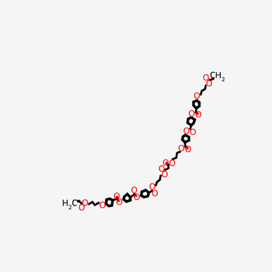 C=CC(=O)OCCCCOc1ccc(C(=O)Oc2ccc(C(=O)Oc3ccc(C(=O)OCCCCOC(=O)CC(=O)OCCCCOC(=O)c4ccc(OC(=O)c5ccc(OC(=O)c6ccc(OCCCCOC(=O)C=C)cc6)cc5)cc4)cc3)cc2)cc1